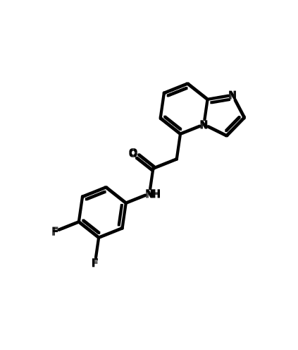 O=C(Cc1cccc2nccn12)Nc1ccc(F)c(F)c1